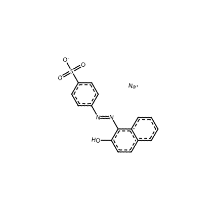 O=S(=O)([O-])c1ccc(N=Nc2c(O)ccc3ccccc23)cc1.[Na+]